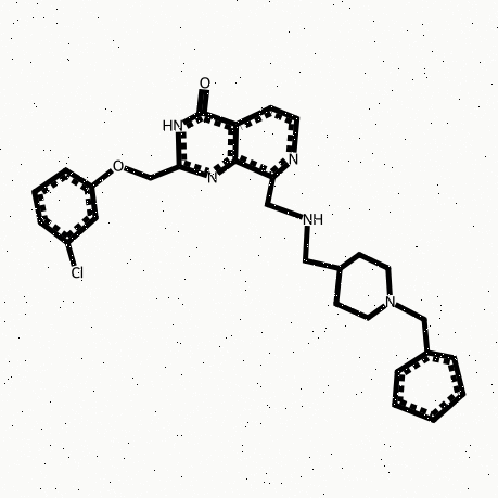 O=c1[nH]c(COc2cccc(Cl)c2)nc2c(CNCC3CCN(Cc4ccccc4)CC3)nccc12